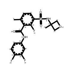 Cc1ccc(S(=O)(=O)NC2(C)COC2)c(F)c1C(=O)Nc1ccc(F)c(F)c1